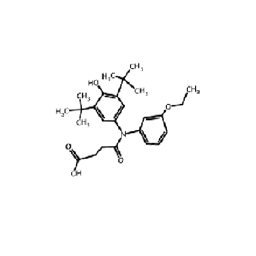 CCOc1cccc(N(C(=O)CCC(=O)O)c2cc(C(C)(C)C)c(O)c(C(C)(C)C)c2)c1